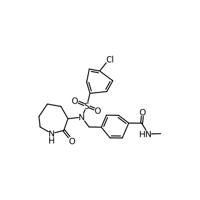 CNC(=O)c1ccc(CN(C2CCCCNC2=O)S(=O)(=O)c2ccc(Cl)cc2)cc1